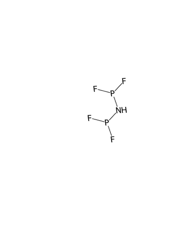 FP(F)NP(F)F